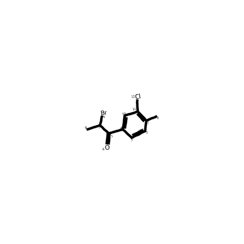 Cc1ccc(C(=O)C(C)Br)cc1Cl